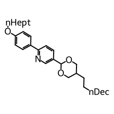 CCCCCCCCCCCCC1COC(c2ccc(-c3ccc(OCCCCCCC)cc3)nc2)OC1